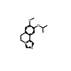 COc1cc2c(cc1OC(C)C)-c1cncn1CC2